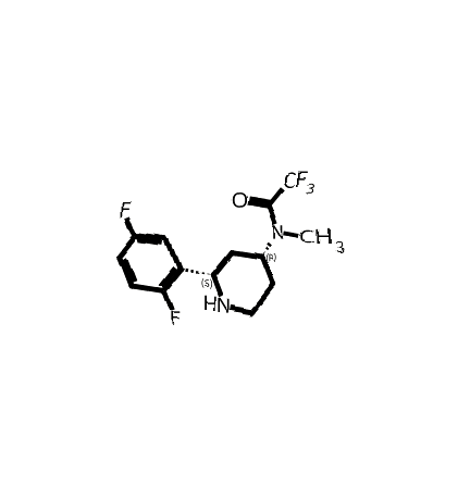 CN(C(=O)C(F)(F)F)[C@@H]1CCN[C@H](c2cc(F)ccc2F)C1